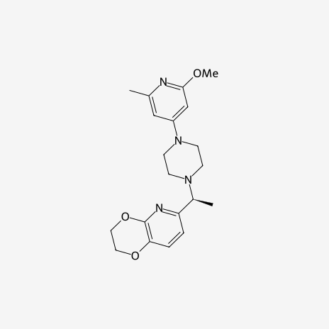 COc1cc(N2CCN([C@@H](C)c3ccc4c(n3)OCCO4)CC2)cc(C)n1